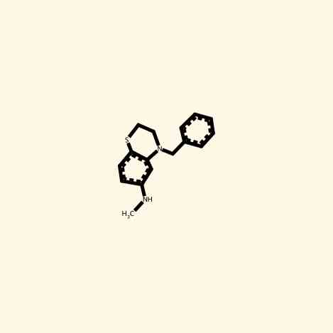 CNc1ccc2c(c1)N(Cc1ccccc1)CCS2